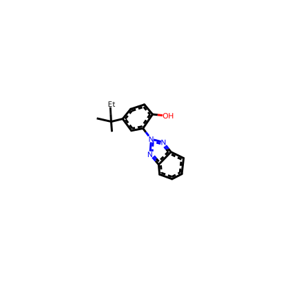 CCC(C)(C)c1ccc(O)c(-n2nc3ccccc3n2)c1